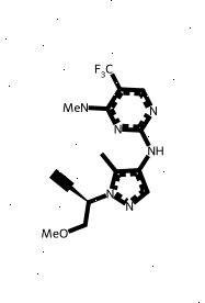 C#C[C@H](COC)n1ncc(Nc2ncc(C(F)(F)F)c(NC)n2)c1C